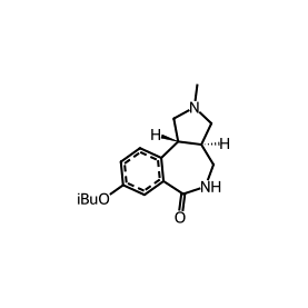 CC(C)COc1ccc2c(c1)C(=O)NC[C@@H]1CN(C)C[C@@H]21